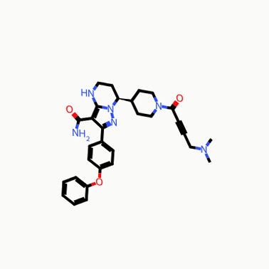 CN(C)CC#CC(=O)N1CCC([C@@H]2CCNc3c(C(N)=O)c(-c4ccc(Oc5ccccc5)cc4)nn32)CC1